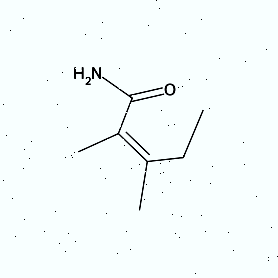 CCC(C)=C(C)C(N)=O